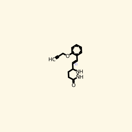 C#CCOc1ccccc1/C=C/C1CCC(=O)NN1